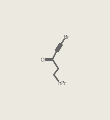 CCCCCC(=O)C#CBr